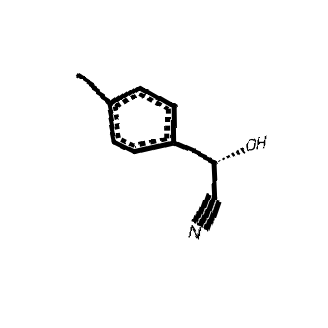 Cc1ccc([C@H](O)C#N)cc1